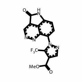 COC(=O)c1cnn(-c2ccc3c4c(cnnc24)C(=O)N3)c1C(F)(F)F